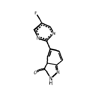 O=C1NN=C2C=CC(c3ncc(F)cn3)=CC12